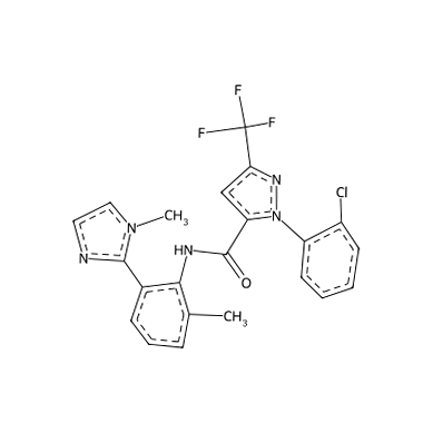 Cc1cccc(-c2nccn2C)c1NC(=O)c1cc(C(F)(F)F)nn1-c1ccccc1Cl